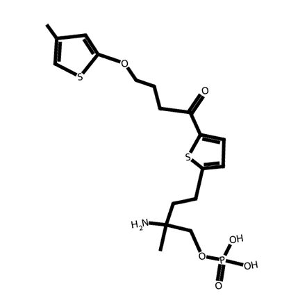 Cc1csc(OCCCC(=O)c2ccc(CCC(C)(N)COP(=O)(O)O)s2)c1